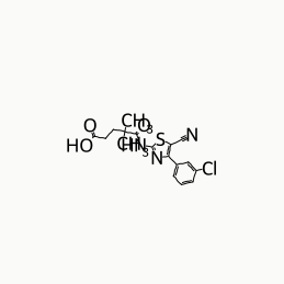 CC(C)(CCC(=O)O)C(=O)Nc1nc(-c2cccc(Cl)c2)c(C#N)s1